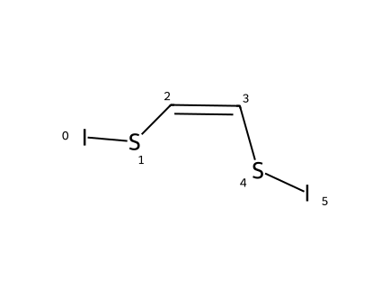 IS/C=C\SI